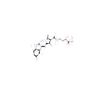 Cc1[nH]c(/C=C2\C(=O)Nc3ccc(F)cc32)c(C)c1C(=O)NCC[C@H](O)C(=O)N(C)C